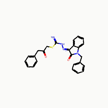 N=C(N/N=C1/C(=O)N(Cc2ccccc2)c2ccccc21)SCC(=O)Cc1ccccc1